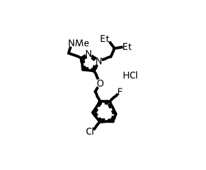 CCC(CC)Cn1nc(CNC)cc1OCc1cc(Cl)ccc1F.Cl